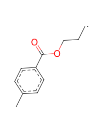 [CH2]CCOC(=O)c1ccc(C)cc1